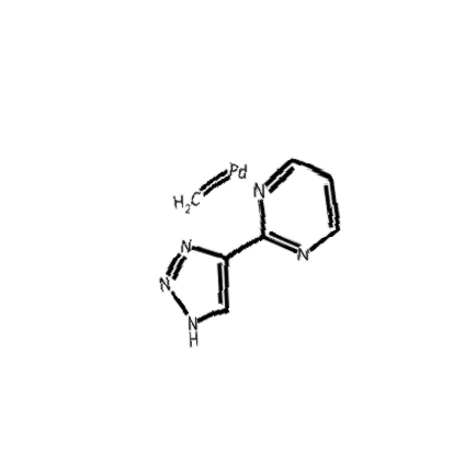 [CH2]=[Pd].c1cnc(-c2c[nH]nn2)nc1